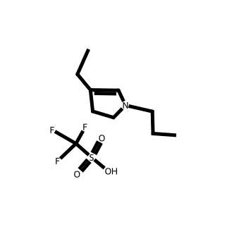 CCCN1C=C(CC)CC1.O=S(=O)(O)C(F)(F)F